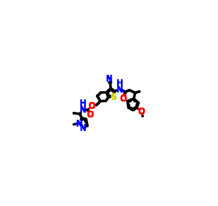 COc1cccc(C(C)CC(=O)Nc2sc3c(c2C#N)CCC(COC(=O)NC(C)c2ccnn2C)C3)c1